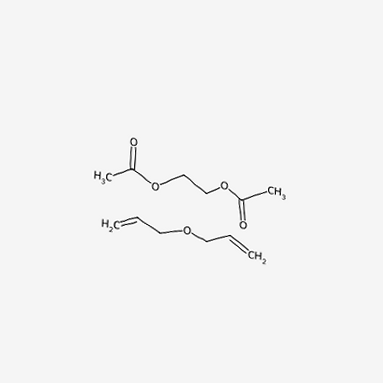 C=CCOCC=C.CC(=O)OCCOC(C)=O